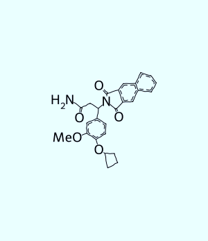 COc1cc(C(CC(N)=O)N2C(=O)c3cc4ccccc4cc3C2=O)ccc1OC1CCC1